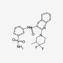 CC1CN(c2nc3ccccc3cc2C(=O)Nc2cccc(S(N)(=O)=O)c2)CCC1(F)F